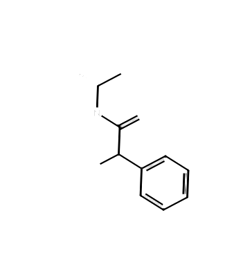 C[C@@H]([C]=O)NC(=O)C(O)c1ccccc1